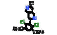 CCc1cc2cnc(-c3c(Cl)c(OC)cc(OC)c3Cl)cc2cn1